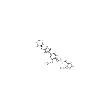 COc1cc(-c2nc(CN3CCCCC3)co2)ccc1OCCCN1CCCC1C